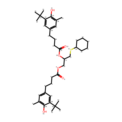 Cc1cc(CCCC(=O)OCC(CSC2CCCCC2)OC(=O)CCCc2cc(C)c(O)c(C(C)(C)C)c2)cc(C(C)(C)C)c1O